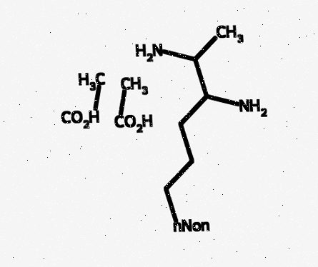 CC(=O)O.CC(=O)O.CCCCCCCCCCCCC(N)C(C)N